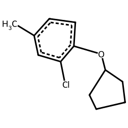 Cc1ccc(OC2CCCC2)c(Cl)c1